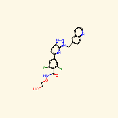 O=C(NOCCO)c1c(F)cc(-c2ccc3nnn(Cc4ccc5ncccc5c4)c3n2)cc1F